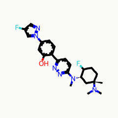 CN(c1ccc(-c2ccc(-n3cc(F)cn3)cc2O)nn1)[C@H]1C[C@@](C)(N(C)C)CCC1F